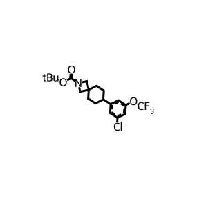 CC(C)(C)OC(=O)N1CC2(CCC(c3cc(Cl)cc(OC(F)(F)F)c3)CC2)C1